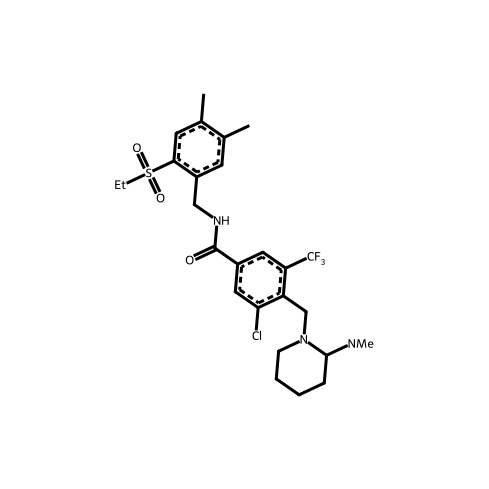 CCS(=O)(=O)c1cc(C)c(C)cc1CNC(=O)c1cc(Cl)c(CN2CCCCC2NC)c(C(F)(F)F)c1